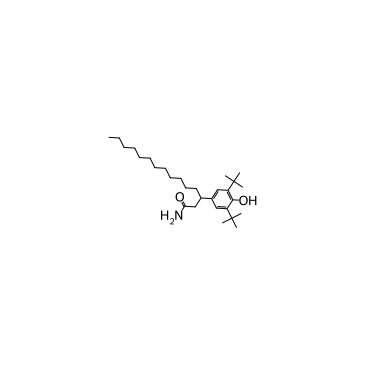 CCCCCCCCCCCCC(CC(N)=O)c1cc(C(C)(C)C)c(O)c(C(C)(C)C)c1